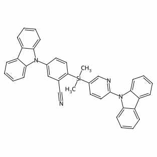 C[Si](C)(c1ccc(-n2c3ccccc3c3ccccc32)nc1)c1ccc(-n2c3ccccc3c3ccccc32)cc1C#N